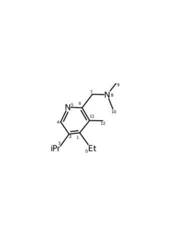 CCc1c(C(C)C)cnc(CN(C)C)c1C